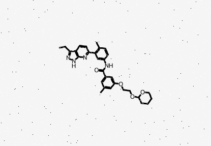 CCc1n[nH]c2nc(-c3cc(NC(=O)c4cc(C)cc(OCCOC5CCCCO5)c4)ccc3C)ccc12